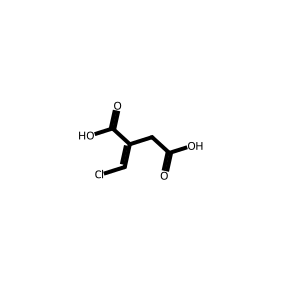 O=C(O)CC(=CCl)C(=O)O